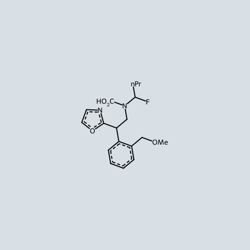 CCCC(F)N(CC(c1ncco1)c1ccccc1COC)C(=O)O